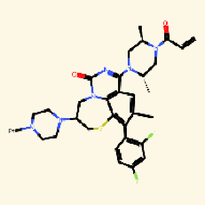 C=CC(=O)N1C[C@H](C)N(c2nc(=O)n3c4c(c(-c5ccc(F)cc5F)c(C)cc24)SCC(N2CCN(CC)CC2)C3)C[C@H]1C